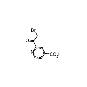 O=C(O)c1ccnc(C(=O)CBr)c1